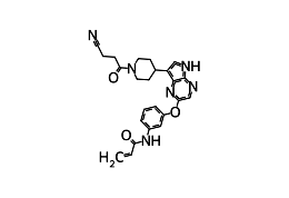 C=CC(=O)Nc1cccc(Oc2cnc3[nH]cc(C4CCN(C(=O)CCC#N)CC4)c3n2)c1